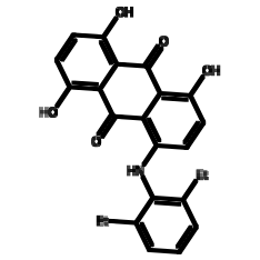 CCc1cccc(CC)c1Nc1ccc(O)c2c1C(=O)c1c(O)ccc(O)c1C2=O